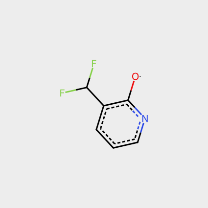 [O]c1ncccc1C(F)F